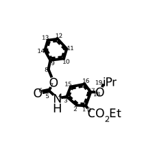 CCOC(=O)c1cc(NC(=O)OCc2ccccc2)ccc1OC(C)C